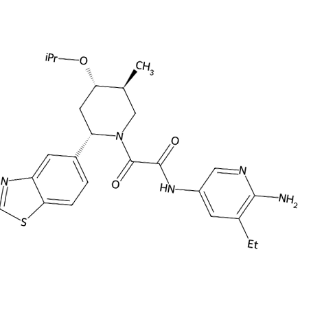 CCc1cc(NC(=O)C(=O)N2C[C@H](C)[C@@H](OC(C)C)C[C@H]2c2ccc3scnc3c2)cnc1N